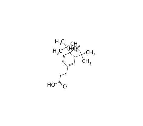 CC(C)(C)C1C=C(CCC(=O)O)C=CC1(O)C(C)(C)C